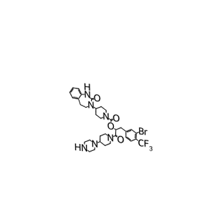 O=C(OC(Cc1ccc(C(F)(F)F)c(Br)c1)C(=O)N1CCC(N2CCNCC2)CC1)N1CCC(N2CCc3ccccc3NC2=O)CC1